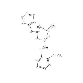 COc1ccccc1CN[C@H](COCc1ccccc1)CC(C)C